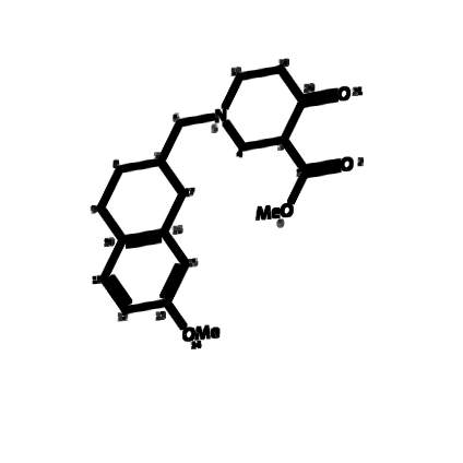 COC(=O)C1CN(CC2CCc3ccc(OC)cc3C2)CCC1=O